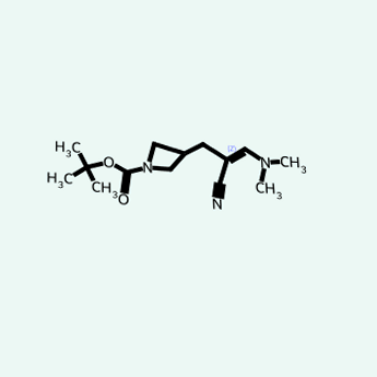 CN(C)/C=C(\C#N)CC1CN(C(=O)OC(C)(C)C)C1